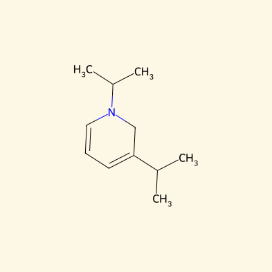 CC(C)C1=CC=CN(C(C)C)C1